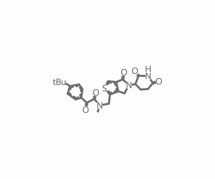 CN(Cc1scc2c1CN(C1CCC(=O)NC1=O)C2=O)C(=O)C(=O)c1ccc(C(C)(C)C)cc1